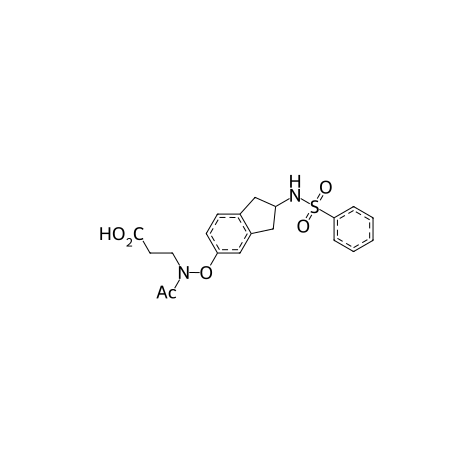 CC(=O)N(CCC(=O)O)Oc1ccc2c(c1)CC(NS(=O)(=O)c1ccccc1)C2